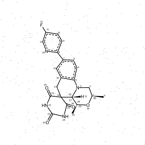 C[C@@H]1CN2c3ccc(-c4ccc(F)cn4)cc3CC3(C(=O)NC(=O)NC3=O)[C@H]2[C@H](C)O1